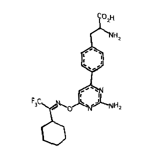 Nc1nc(ON=C(C2CCCCC2)C(F)(F)F)cc(-c2ccc(CC(N)C(=O)O)cc2)n1